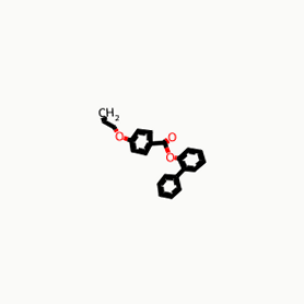 C=CCOc1ccc(C(=O)Oc2ccccc2-c2ccccc2)cc1